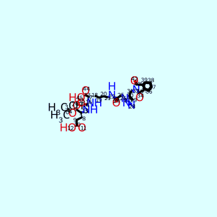 CC(C)(C)OC(=O)[C@H](CCC(=O)O)NC(=O)N[C@@H](CCCCNC(=O)Cn1nncc1CN1C(=O)c2ccccc2C1=O)C(=O)O